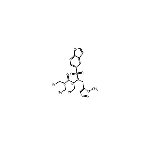 CC(C)C[C@@H](C(=O)N(CC(C)C)CC(C)C)N(Cc1ccnn1C)S(=O)(=O)c1ccc2occc2c1